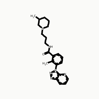 Cc1c(C(=O)NCCCN2CCCC(C)C2)cccc1-n1nnc2cccnc21